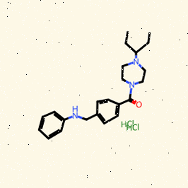 CCC(CC)N1CCN(C(=O)c2ccc(CNc3ccccc3)cc2)CC1.Cl.Cl